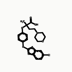 CC(CCN1CCOCC1)(Oc1ccc(Oc2nc3ccc(Cl)cc3s2)cc1)C(=O)O